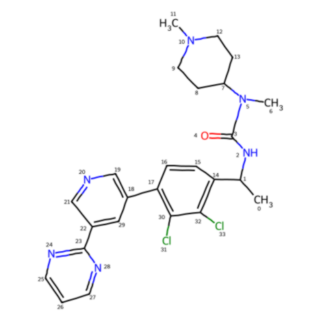 CC(NC(=O)N(C)C1CCN(C)CC1)c1ccc(-c2cncc(-c3ncccn3)c2)c(Cl)c1Cl